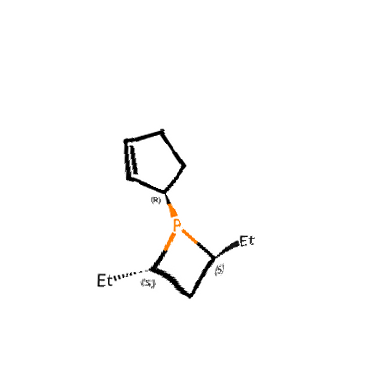 CC[C@H]1C[C@H](CC)P1[C@H]1C=CCC1